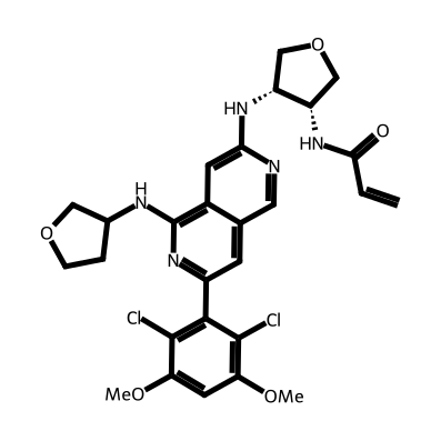 C=CC(=O)N[C@H]1COC[C@H]1Nc1cc2c(NC3CCOC3)nc(-c3c(Cl)c(OC)cc(OC)c3Cl)cc2cn1